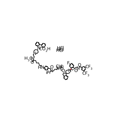 CC(C)N(CCCN(C)C(=O)CO[C@H]1Cc2ccccc2C12CCN(CC[C@@]1(c3ccc(F)cc3)CN(C(=O)c3cc(C(F)(F)F)cc(C(F)(F)F)c3)CO1)CC2)C(=O)c1ccc(NCCCCCC(=O)N(C)CCN2CCC(N(C(=O)O)c3ccccc3-c3ccccc3)CC2)cc1.Cl.Cl.Cl